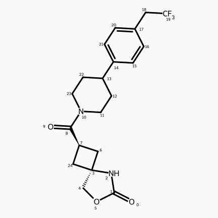 O=C1N[C@]2(CO1)C[C@H](C(=O)N1CCC(c3ccc(CC(F)(F)F)cc3)CC1)C2